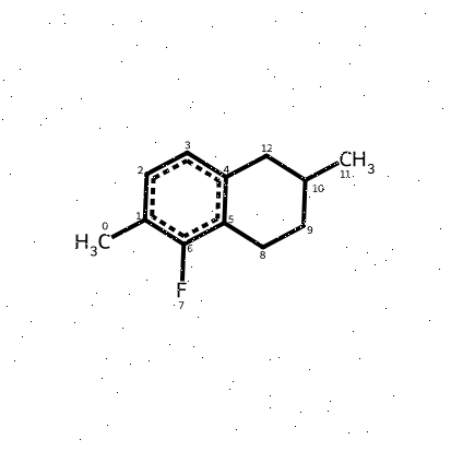 Cc1ccc2c(c1F)CCC(C)C2